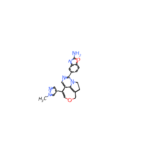 Cn1cc(C2=COCC3=C4C2=CN=C(c2ccc5oc(N)nc5c2)N4CC3)cn1